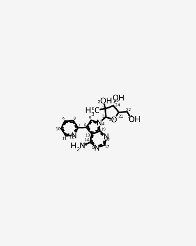 CC1(O)C(n2cc(-c3ccccn3)c3c(N)ncnc32)OC(CO)[C@H]1O